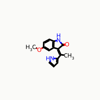 COc1ccc2c(c1)C(=C(C)c1ccc[nH]1)C(=O)N2